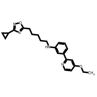 CCOc1ccnc(-c2cccc(NCCCCCc3nc(C4CC4)no3)c2)c1